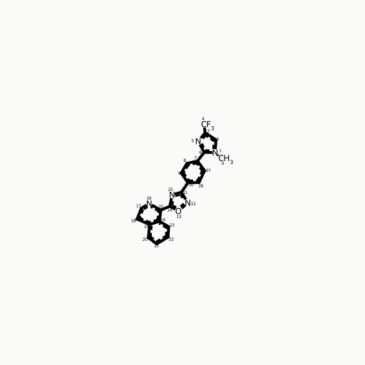 Cn1cc(C(F)(F)F)nc1-c1ccc(-c2noc(-c3nccc4ccccc34)n2)cc1